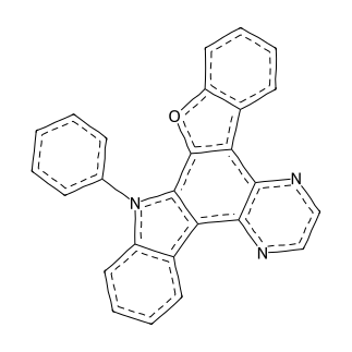 c1ccc(-n2c3ccccc3c3c4nccnc4c4c5ccccc5oc4c32)cc1